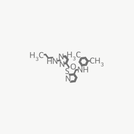 CCCCNc1nccc(CSc2ncccc2C(=O)Nc2cc(C)cc(C)c2)n1